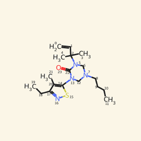 C=CC(C)(C)N1CN(CCCC)CN(c2snc(CC)c2C)C1=O